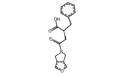 O=C(O)[C@H](CC(=O)N1Cc2cocc2C1)Cc1ccccc1